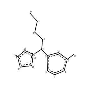 CCCCC(c1cccc(C)c1)n1ccnc1